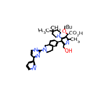 Cc1nc(CO)c(-c2ccc3c(c2)CCN(c2nccc(-c4cccnc4)n2)C3)c(N2CCC(C)(C)CC2)c1[C@H](OC(C)(C)C)C(=O)O